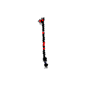 CN(C)c1ccc(/C=C/c2nc3ccc(OCCOCCOCCOCCOCCOCCOCCOCCOCCOCCOCCOCCNCc4cc(C(F)(F)F)cc(C(F)(F)F)c4)cc3o2)cc1